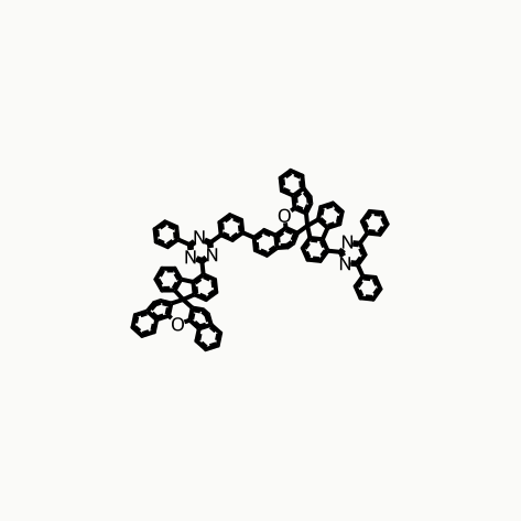 c1ccc(-c2cc(-c3ccccc3)nc(-c3cccc4c3-c3ccccc3C43c4ccc5ccccc5c4Oc4c3ccc3ccc(-c5cccc(-c6nc(-c7ccccc7)nc(-c7cccc8c7-c7ccccc7C87c8ccc9ccccc9c8Oc8c7ccc7ccccc87)n6)c5)cc43)n2)cc1